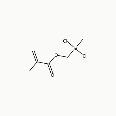 C=C(C)C(=O)OC[Si](C)(Cl)Cl